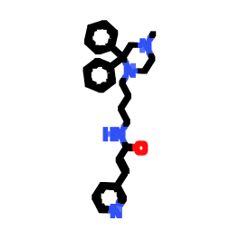 CN1CCN(CCCCNC(=O)C=Cc2cccnc2)C(c2ccccc2)(c2ccccc2)C1